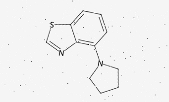 c1cc(N2CCCC2)c2ncsc2c1